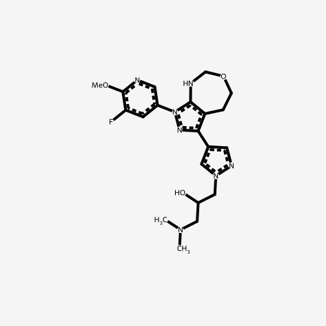 COc1ncc(-n2nc(-c3cnn(CC(O)CN(C)C)c3)c3c2NCOCC3)cc1F